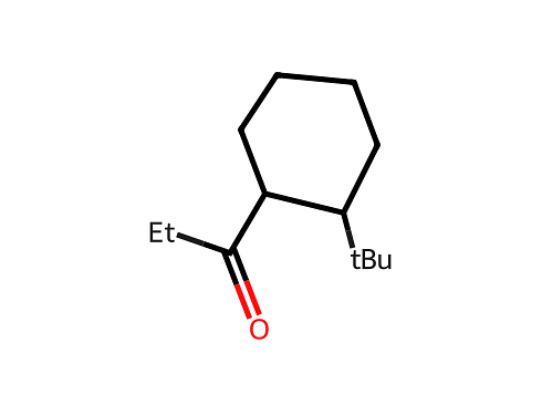 CCC(=O)C1CCCCC1C(C)(C)C